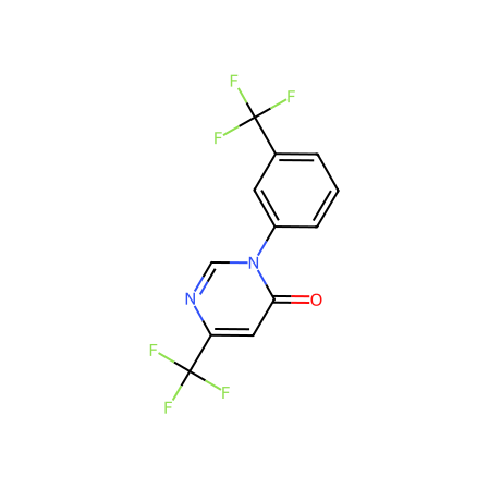 O=c1cc(C(F)(F)F)ncn1-c1cccc(C(F)(F)F)c1